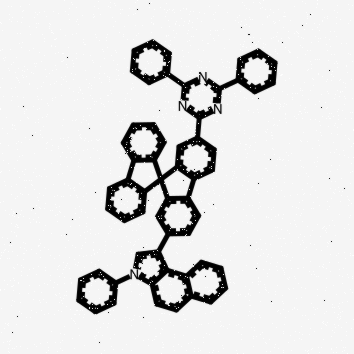 c1ccc(-c2nc(-c3ccccc3)nc(-c3ccc4c(c3)C3(c5ccccc5-c5ccccc53)c3cc(-c5cn(-c6ccccc6)c6ccc7ccccc7c56)ccc3-4)n2)cc1